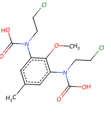 COc1c(N(CCCl)C(=O)O)cc(C)cc1N(CCCl)C(=O)O